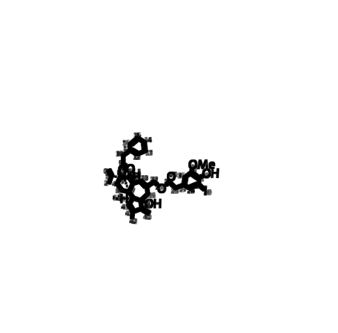 C=C(C)[C@@]12C[C@@H](C)[C@@]34OC(Cc5ccccc5)(O[C@@H]1[C@@H]3C=C(COC(=O)Cc1cc(I)c(O)c(OC)c1)C[C@]1(O)C(=C)C(C)=C[C@@H]41)O2